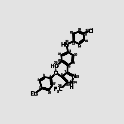 CCc1ccc(Oc2c(-c3ccc(Nc4ccc(Cl)cc4)cc3O)n[nH]c2C(F)(F)F)cc1